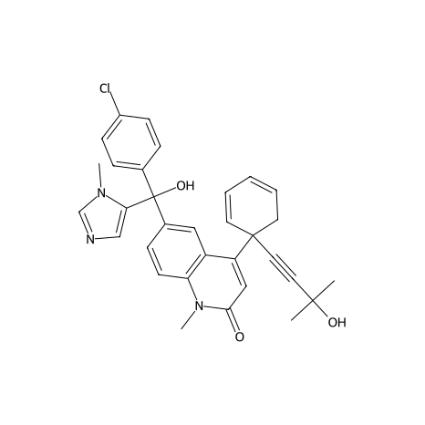 Cn1cncc1C(O)(c1ccc(Cl)cc1)c1ccc2c(c1)c(C1(C#CC(C)(C)O)C=CC=CC1)cc(=O)n2C